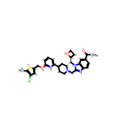 COC(=O)c1ccc2nc(CN3CCC(c4cccc(OCc5cc(Cl)c(C#N)s5)n4)CC3)n(C[C@@H]3CCO3)c2c1